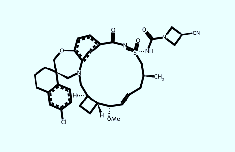 CO[C@H]1/C=C/C[C@H](C)C[S@@](=O)(NC(=O)N2CC(C#N)C2)=NC(=O)c2ccc3c(c2)N(C[C@@H]2CC[C@H]21)C[C@@]1(CCCc2cc(Cl)ccc21)CO3